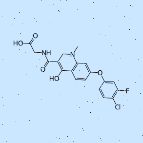 CN1CC(C(=O)NCC(=O)O)=C(O)c2ccc(Oc3ccc(Cl)c(F)c3)cc21